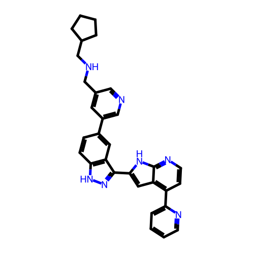 c1ccc(-c2ccnc3[nH]c(-c4n[nH]c5ccc(-c6cncc(CNCC7CCCC7)c6)cc45)cc23)nc1